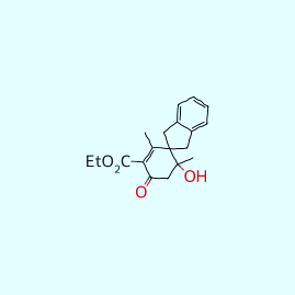 CCOC(=O)C1=C(C)C2(Cc3ccccc3C2)C(C)(O)CC1=O